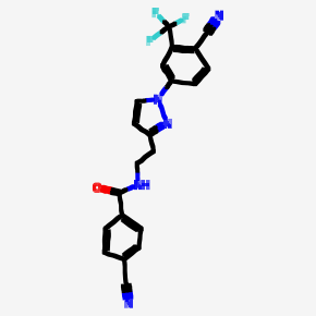 N#Cc1ccc(C(=O)NCCc2ccn(-c3ccc(C#N)c(C(F)(F)F)c3)n2)cc1